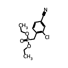 CCOP(=O)(Cc1ccc(C#N)cc1Cl)OCC